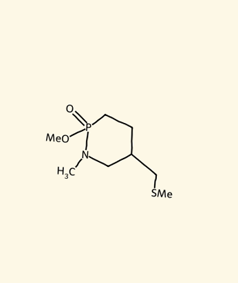 COP1(=O)CCC(CSC)CN1C